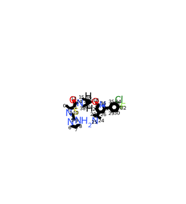 Cc1nc(-c2ncccn2)sc1C(=O)N1C[C@@H]2C(Oc3cc(C(C)(C)N)cc(-c4ccc(F)c(Cl)c4)n3)[C@@H]2C1